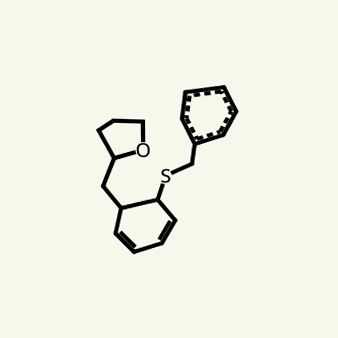 C1=CC(CC2CCCO2)C(SCc2ccccc2)C=C1